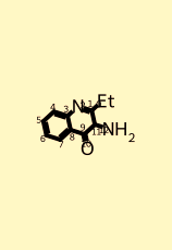 CCC1=Nc2ccccc2C(=O)C1N